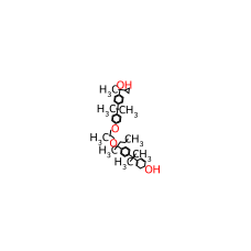 CCCC(C)(OCC(C)COc1ccc(C(C)(C)c2ccc(C(C)(O)C3CC3)cc2)cc1)c1ccc(C(C)(C)C2=CCC(O)C=C2)cc1